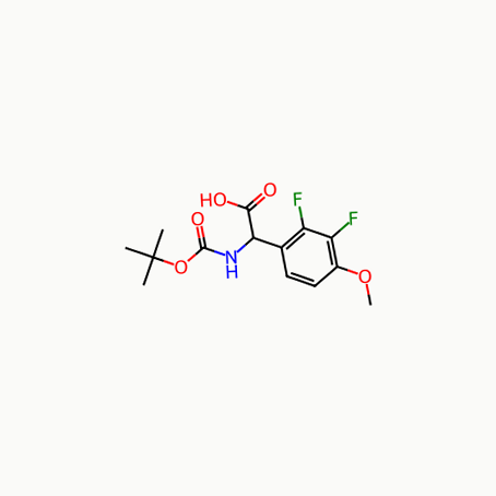 COc1ccc(C(NC(=O)OC(C)(C)C)C(=O)O)c(F)c1F